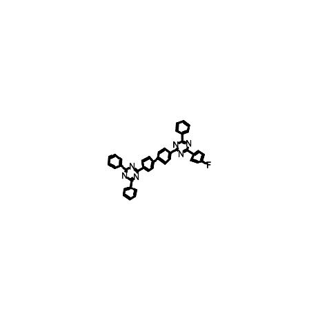 Fc1ccc(-c2nc(-c3ccccc3)nc(-c3ccc(-c4ccc(-c5nc(-c6ccccc6)nc(-c6ccccc6)n5)cc4)cc3)n2)cc1